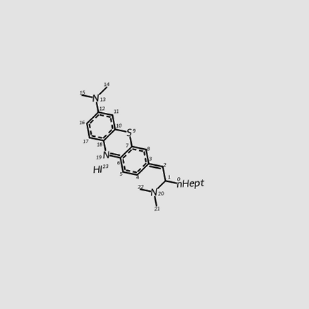 CCCCCCCC(C=c1ccc2c(c1)Sc1cc(N(C)C)ccc1N=2)N(C)C.I